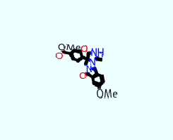 C=C1NC(=O)C(CN2Cc3ccc(OC)cc3C2=O)(C2C=CC(C(=O)OC)=CC2)N1